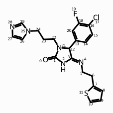 O=C1NC(=NCCc2cccs2)C(c2ccc(Cl)c(F)c2)N1CCCn1ccnc1